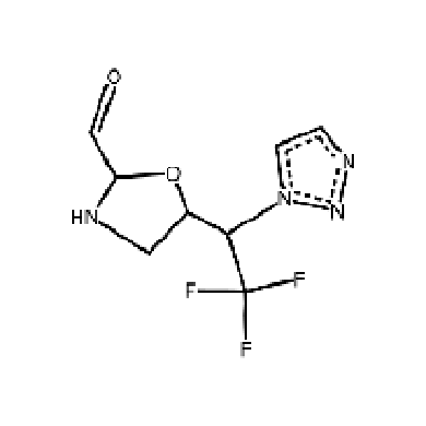 O=CC1NCC(C(n2ccnn2)C(F)(F)F)O1